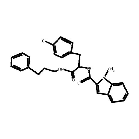 Cn1c(C(=O)NC(Cc2ccc(Cl)cc2)C(=O)NCCCc2ccccc2)cc2ccccc21